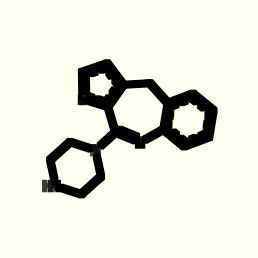 c1ccc2c(c1)Cc1ccsc1C(N1CCNCC1)=N2